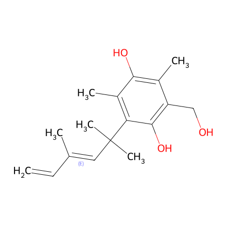 C=C/C(C)=C/C(C)(C)c1c(C)c(O)c(C)c(CO)c1O